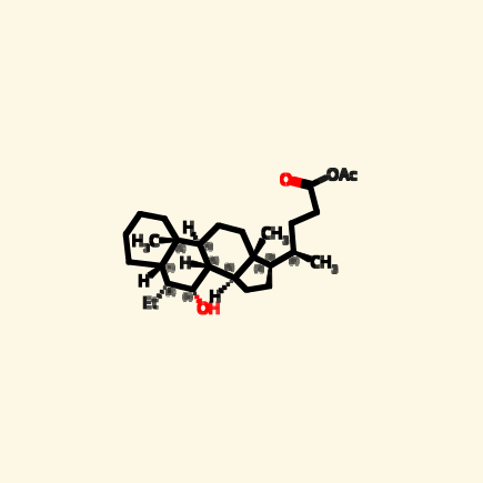 CC[C@H]1[C@@H](O)[C@@H]2[C@H](CC[C@]3(C)[C@@H]([C@H](C)CCC(=O)OC(C)=O)CC[C@@H]23)[C@@]2(C)CCCC[C@@H]12